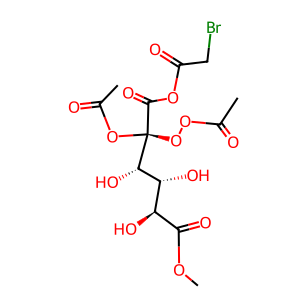 COC(=O)[C@@H](O)[C@@H](O)[C@H](O)[C@](OOC(C)=O)(OC(C)=O)C(=O)OC(=O)CBr